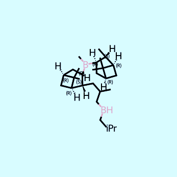 CB([C@@H]1C[C@@H]2C[C@H]([C@H]1C)C2(C)C)[C@@H]1C[C@@H]2C[C@H]([C@H]1CC(C)CBCC(C)C)C2(C)C